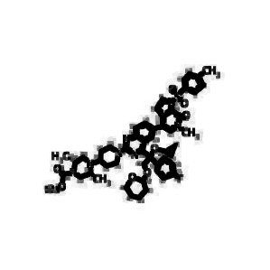 Cc1ccc(S(=O)(=O)n2ccc3c(-c4ccc5nc(N6CCC(N7C[C@@H](C)N(C(=O)OC(C)(C)C)C[C@@H]7C)CC6)nc(C(COC6CCCCO6)(OC6CC6)c6ccc(F)cc6)c5c4)cn(C)c(=O)c32)cc1